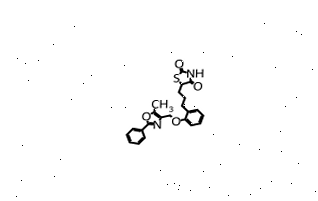 Cc1oc(-c2ccccc2)nc1COc1ccccc1CCCC1SC(=O)NC1=O